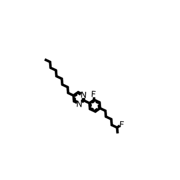 CCCCCCCCCc1cnc(-c2ccc(CCCCC(C)F)cc2F)nc1